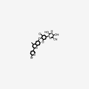 Cc1cc(-c2ccc(Br)nc2)nc2ccc(Oc3c(Cl)cc(N4N=C(C#N)C(O)NC4O)cc3Cl)cc12